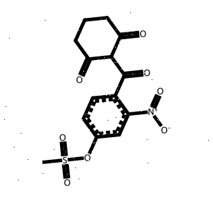 CS(=O)(=O)Oc1ccc(C(=O)C2C(=O)CCCC2=O)c([N+](=O)[O-])c1